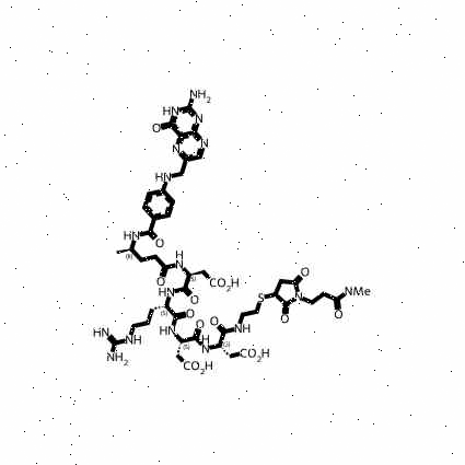 CNC(=O)CCN1C(=O)CC(SCCNC(=O)[C@H](CC(=O)O)NC(=O)[C@H](CC(=O)O)NC(=O)[C@H](CCCNC(=N)N)NC(=O)[C@H](CC(=O)O)NC(=O)CC[C@@H](C)NC(=O)c2ccc(NCc3cnc4nc(N)[nH]c(=O)c4n3)cc2)C1=O